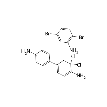 NC1=CC=C(c2ccc(N)cc2)CC1(Cl)Cl.Nc1cc(Br)ccc1Br